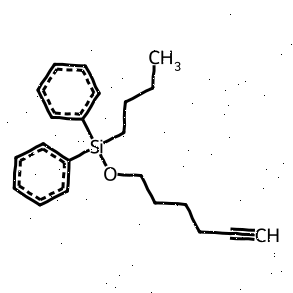 C#CCCCCO[Si](CCCC)(c1ccccc1)c1ccccc1